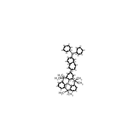 CC1(C)c2cccc3c2N2c4c1cccc4C(C)(C)c1cc(-c4ccc5cc(N(c6ccccc6)c6ccccc6)ccc5c4)cc(c12)C3(C)C